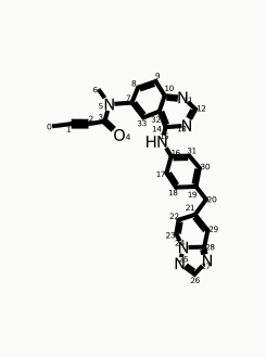 CC#CC(=O)N(C)c1ccc2ncnc(Nc3ccc(Cc4ccn5ncnc5c4)cc3)c2c1